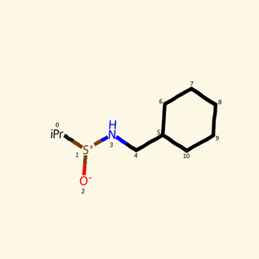 CC(C)[S+]([O-])NCC1CCCCC1